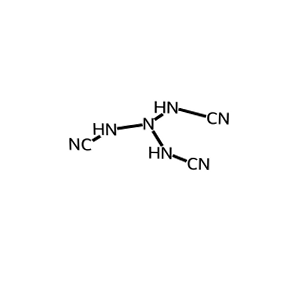 N#CNN(NC#N)NC#N